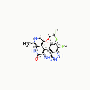 Cc1ncc(OCC(F)F)c2c(-c3ccc(F)c4[nH]ncc34)c(N)c(=O)[nH]c12